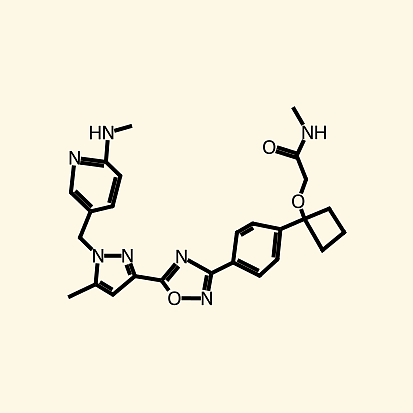 CNC(=O)COC1(c2ccc(-c3noc(-c4cc(C)n(Cc5ccc(NC)nc5)n4)n3)cc2)CCC1